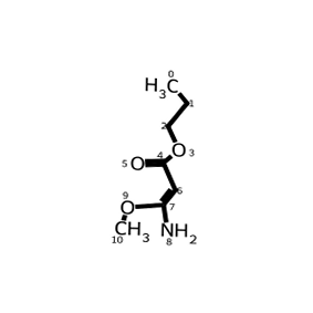 CCCOC(=O)C=C(N)OC